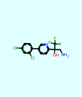 NCC(O)(c1ccc(-c2ccc(Cl)cc2Cl)cn1)C(F)(F)F